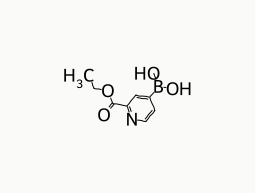 CCOC(=O)c1cc(B(O)O)ccn1